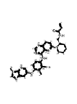 C=CC(=O)NC[C@H]1CCCCN1c1ccc2ncnc(Nc3ccc(Oc4cnc5c(c4)ncn5C)c(C)c3F)c2n1